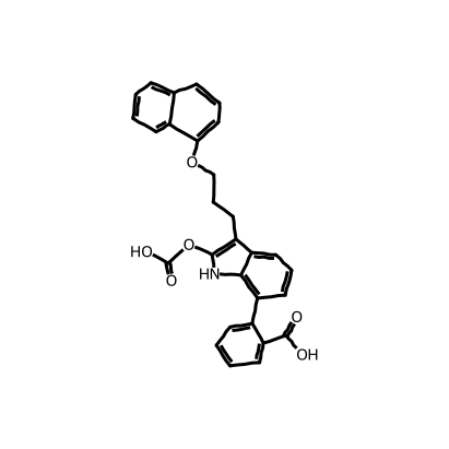 O=C(O)Oc1[nH]c2c(-c3ccccc3C(=O)O)cccc2c1CCCOc1cccc2ccccc12